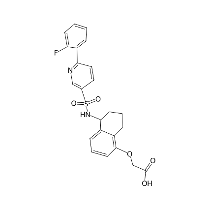 O=C(O)COc1cccc2c1CCCC2NS(=O)(=O)c1ccc(-c2ccccc2F)nc1